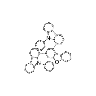 c1ccc(-n2c3ccccc3c3cccc(-c4cc(-c5cccc6c7ccccc7n(-c7ccccc7)c56)c5c(c4)oc4ccccc45)c32)cc1